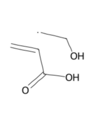 C=CC(=O)O.[CH2]CO